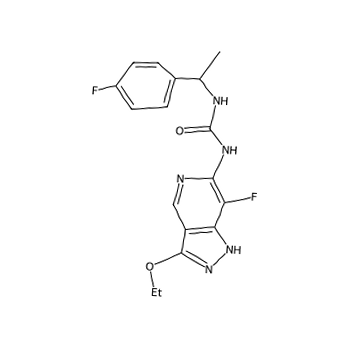 CCOc1n[nH]c2c(F)c(NC(=O)NC(C)c3ccc(F)cc3)ncc12